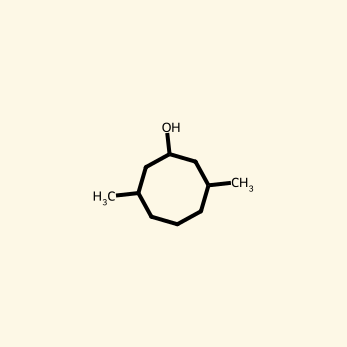 CC1CCCC(C)CC(O)C1